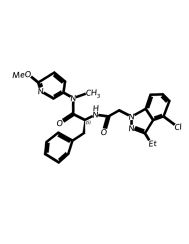 CCc1nn(CC(=O)N[C@@H](Cc2ccccc2)C(=O)N(C)c2ccc(OC)nc2)c2cccc(Cl)c12